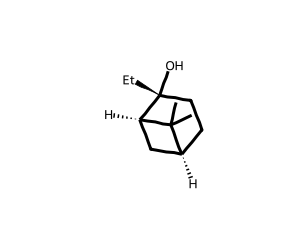 CC[C@@]1(O)CC[C@H]2C[C@@H]1C2(C)C